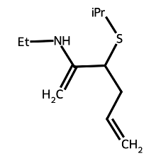 C=CCC(SC(C)C)C(=C)NCC